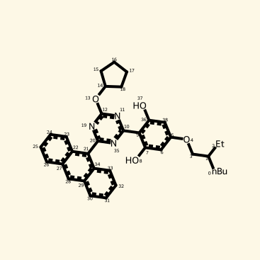 CCCCC(CC)COc1cc(O)c(-c2nc(OC3CCCC3)nc(-c3c4ccccc4cc4ccccc34)n2)c(O)c1